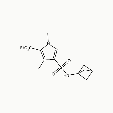 CCOC(=O)c1c(C)c(S(=O)(=O)NC23CC(C2)C3)cn1C